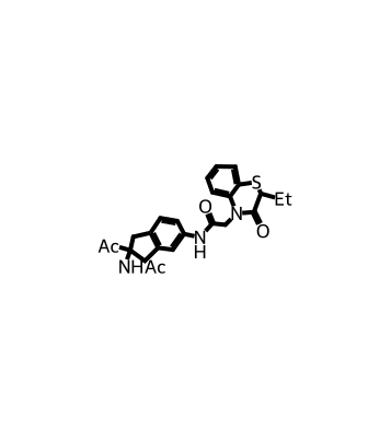 CCC1Sc2ccccc2N(CC(=O)Nc2ccc3c(c2)CC(NC(C)=O)(C(C)=O)C3)C1=O